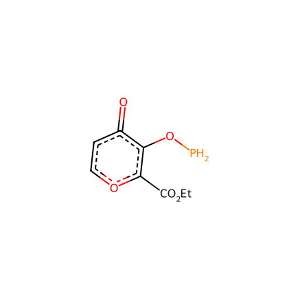 CCOC(=O)c1occc(=O)c1OP